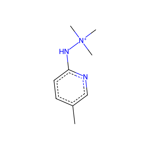 Cc1ccc(N[N+](C)(C)C)nc1